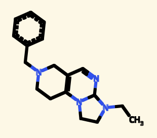 CCN1CCN2C3=C(C=NC12)CN(Cc1ccccc1)CC3